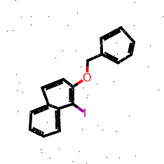 Ic1c(OCc2ccccc2)ccc2ccccc12